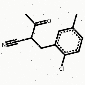 CC(=O)C(C#N)Cc1cc(C)ccc1Cl